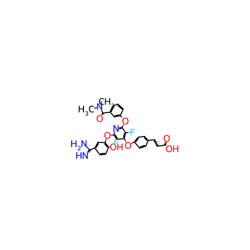 CN(C)C(=O)c1cccc(Oc2nc(Oc3cc(C(=N)N)ccc3O)c(F)c(Oc3ccc(/C=C/C(=O)O)cc3)c2F)c1